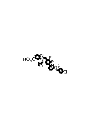 O=C(O)c1ccc2nc(Cc3ccc(-c4cccc(OCc5ccc(Cl)cc5F)n4)c(F)c3F)n(CC3CCO3)c2c1